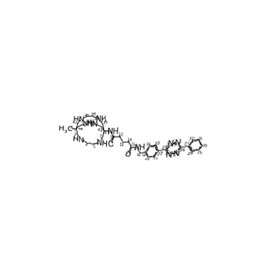 CC12CNCCNCC(NC(=O)CCCC(=O)NCc3ccc(-c4nnc(-c5ccccc5)nn4)cc3)(CNCCNC1)CNCCNC2